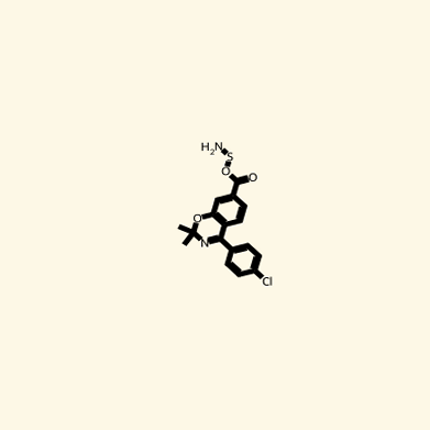 CC1(C)N=C(c2ccc(Cl)cc2)c2ccc(C(=O)OSN)cc2O1